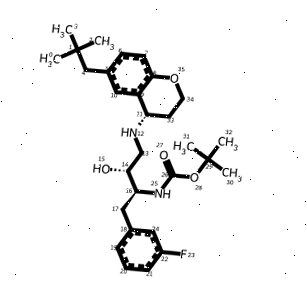 CC(C)(C)Cc1ccc2c(c1)[C@@H](NC[C@@H](O)[C@H](Cc1cccc(F)c1)NC(=O)OC(C)(C)C)CCO2